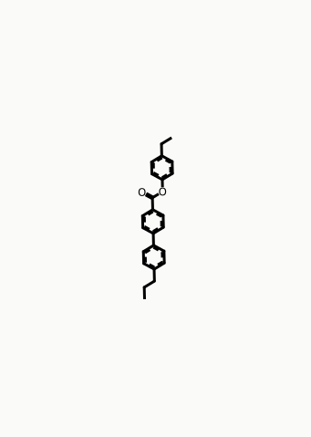 CCCc1ccc(-c2ccc(C(=O)Oc3ccc(CC)cc3)cc2)cc1